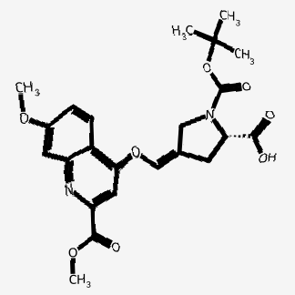 COC(=O)c1cc(O/C=C2/C[C@@H](C(=O)O)N(C(=O)OC(C)(C)C)C2)c2ccc(OC)cc2n1